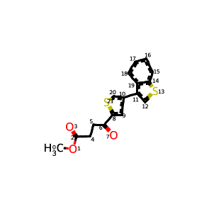 COC(=O)CCC(=O)c1cc(-c2csc3ccccc23)cs1